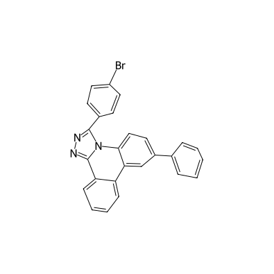 Brc1ccc(-c2nnc3c4ccccc4c4cc(-c5ccccc5)ccc4n23)cc1